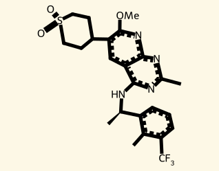 COc1nc2nc(C)nc(N[C@H](C)c3cccc(C(F)(F)F)c3C)c2cc1C1CCS(=O)(=O)CC1